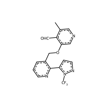 Cc1cncc(OCc2cccnc2-c2ccnn2C(F)(F)F)c1C=O